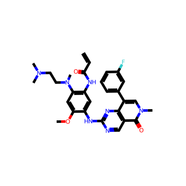 C=CC(=O)Nc1cc(Nc2ncc3c(=O)n(C)cc(-c4cccc(F)c4)c3n2)c(OC)cc1N(C)CCN(C)C